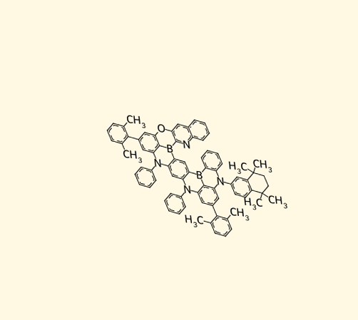 Cc1cccc(C)c1-c1cc2c3c(c1)N(c1ccccc1)c1cc4c(cc1B3c1nc3ccccc3cc1O2)B1c2ccccc2N(c2ccc3c(c2)C(C)(C)CCC3(C)C)c2cc(-c3c(C)cccc3C)cc(c21)N4c1ccccc1